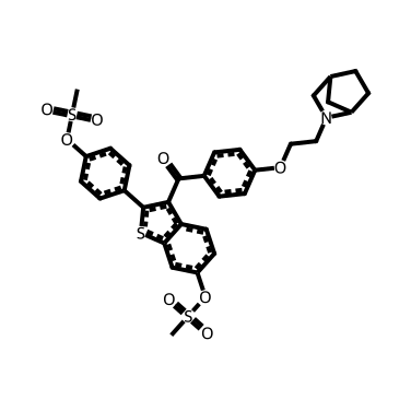 CS(=O)(=O)Oc1ccc(-c2sc3cc(OS(C)(=O)=O)ccc3c2C(=O)c2ccc(OCCN3CC4CCC3C4)cc2)cc1